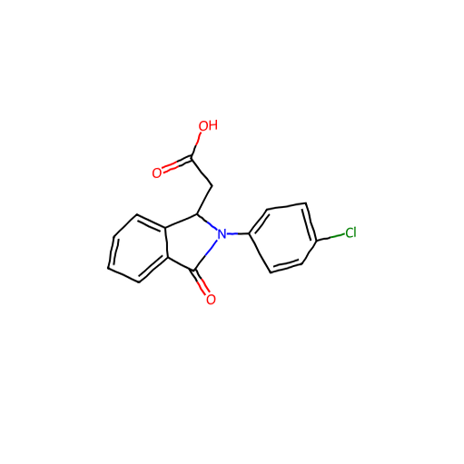 O=C(O)CC1c2ccccc2C(=O)N1c1ccc(Cl)cc1